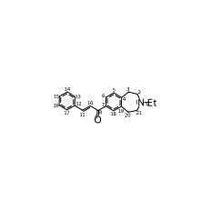 CCN1CCc2ccc(C(=O)/C=C/c3ccccc3)cc2CC1